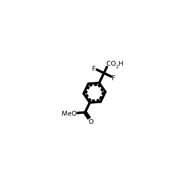 COC(=O)c1ccc(C(F)(F)C(=O)O)cc1